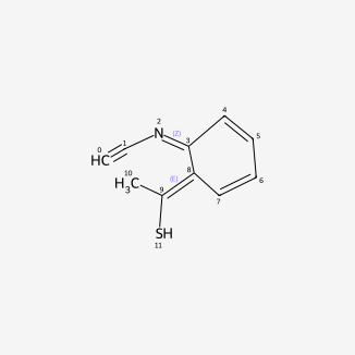 C#C/N=C1/C=CC=C/C1=C(/C)S